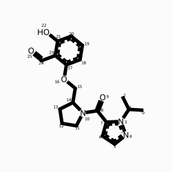 CC(C)n1nccc1C(=O)N1CCCC1COc1cccc(O)c1C=O